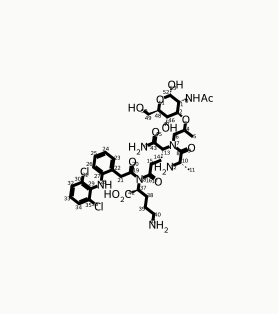 CC(=O)N[C@@H]1[C@@H](OC(C)CN(C(=O)[C@H](C)N)[C@H](CCC(=O)N(C(=O)Cc2ccccc2Nc2c(Cl)cccc2Cl)[C@@H](CCCN)C(=O)O)C(N)=O)[C@H](O)[C@@H](CO)O[C@@H]1O